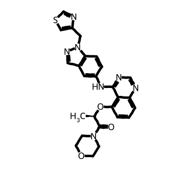 C[C@@H](Oc1cccc2ncnc(Nc3ccc4c(cnn4Cc4cscn4)c3)c12)C(=O)N1CCOCC1